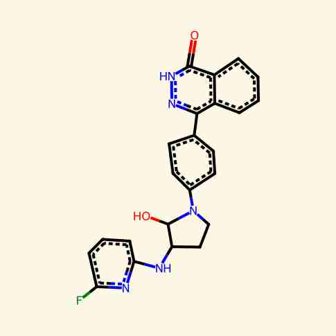 O=c1[nH]nc(-c2ccc(N3CCC(Nc4cccc(F)n4)C3O)cc2)c2ccccc12